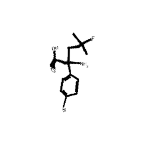 CC(C)(F)CC(N)(C(=O)O)c1ccc(Br)cc1